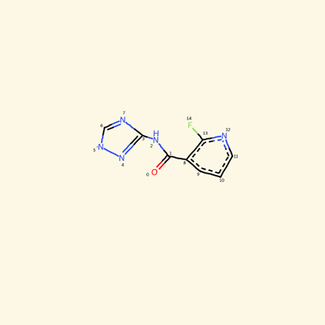 O=C(NC1=N[N]C=N1)c1cccnc1F